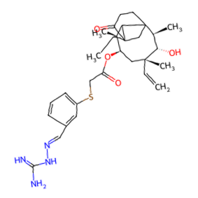 C=C[C@]1(C)C[C@@H](OC(=O)CSc2cccc(/C=N/NC(=N)N)c2)[C@]2(C)C(C)CC34CC(CCC3=O)(C42)[C@@H](C)[C@@H]1O